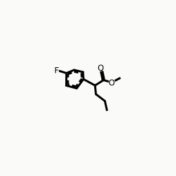 CCCC(C(=O)OC)c1ccc(F)cc1